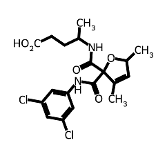 CC1=CC(C)OC1(C(=O)Nc1cc(Cl)cc(Cl)c1)C(=O)NC(C)CCC(=O)O